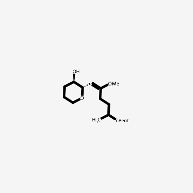 CCCCCC(C)CCC(=C[C@@H]1OCCC[C@H]1O)OC